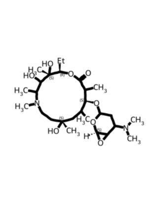 CC[C@H]1OC(=O)C(C)[C@@H](OC2CC(N(C)C)C3O[C@H]3O2)C(C)C[C@](C)(O)CCN(C)C(C)C(O)[C@]1(C)O